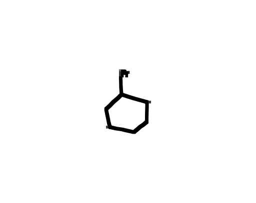 CC(C)C1[CH]CC[CH]C1